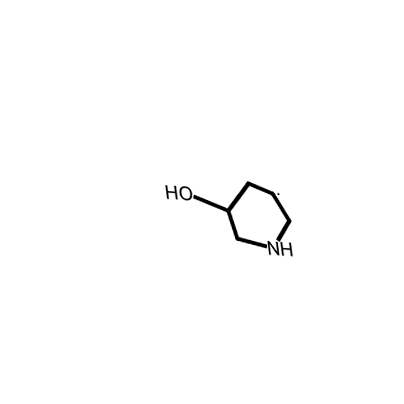 OC1C[CH]CNC1